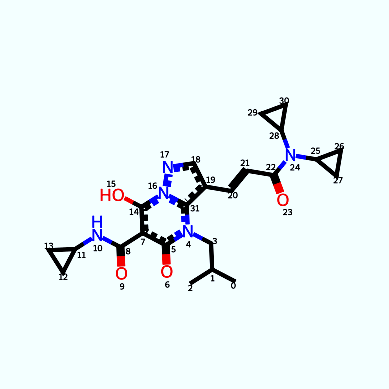 CC(C)Cn1c(=O)c(C(=O)NC2CC2)c(O)n2ncc(/C=C/C(=O)N(C3CC3)C3CC3)c12